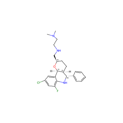 CN(C)CCNC[C@H]1CC[C@@H]2[C@H](O1)c1cc(Cl)cc(F)c1N[C@H]2c1ccccc1